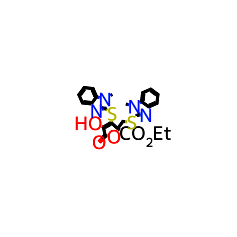 CCOC(=O)C1(CSc2nc3ccccc3n2C)OC(=O)C(O)=C1Sc1nc2ccccc2n1C